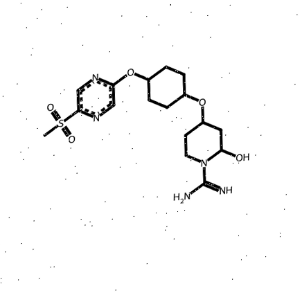 CS(=O)(=O)c1cnc(OC2CCC(OC3CCN(C(=N)N)C(O)C3)CC2)cn1